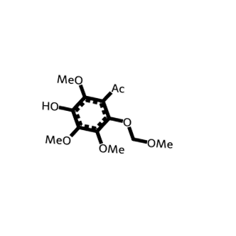 COCOc1c(OC)c(OC)c(O)c(OC)c1C(C)=O